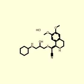 COc1cc2c(cc1OC)C(=C(C#N)SCC(O)CNC1CCCCC1)NCC2.Cl